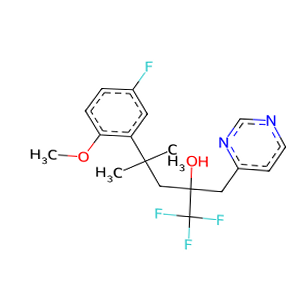 COc1ccc(F)cc1C(C)(C)CC(O)(Cc1ccncn1)C(F)(F)F